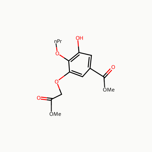 CCCOc1c(O)cc(C(=O)OC)cc1OCC(=O)OC